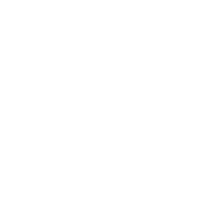 Cc1coc(CO)c(C)c1=O